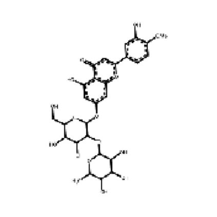 COc1ccc(-c2cc(=O)c3c(O)cc(OC4OC(CO)C(O)C(O)C4OC4OC(C)C(O)C(O)C4O)cc3o2)cc1O